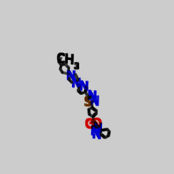 CCC1CCC(N2CCN(c3ccc(-c4nnc(-c5ccc(C(=O)On6nnc7ccccc76)cc5)s4)cn3)CC2)CC1